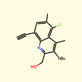 C#Cc1cc(C)c(F)c2c(C)c(CCCC)c(CO)nc12